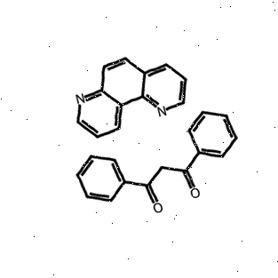 O=C(CC(=O)c1ccccc1)c1ccccc1.c1cnc2c(c1)ccc1ncccc12